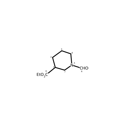 CCOC(=O)C1CCCN([C]=O)C1